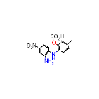 Cc1ccc(Nc2ccc([N+](=O)[O-])cc2N)c(OC(=O)O)c1